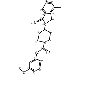 COc1cc(NC(=O)C2CCC(N3Cc4c(C)cccc4C3=O)CC2)ccn1